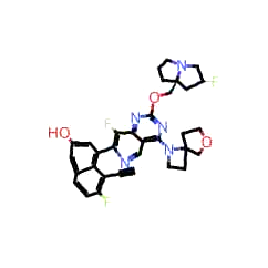 C#Cc1c(F)ccc2cc(O)cc(-c3ncc4c(N5CCC56CCOC6)nc(OC[C@@]56CCCN5C[C@H](F)C6)nc4c3F)c12